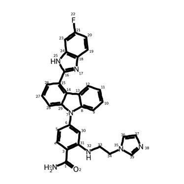 NC(=O)c1ccc(-n2c3ccccc3c3c(-c4nc5ccc(F)cc5[nH]4)cccc32)cc1NCCn1ccnc1